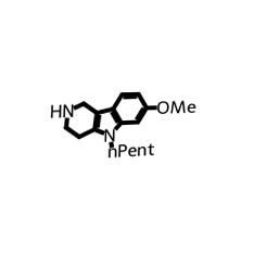 CCCCCn1c2c(c3ccc(OC)cc31)CNCC2